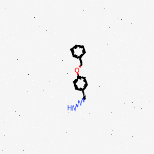 N=[N+]=Cc1ccc(OCc2ccccc2)cc1